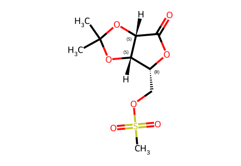 CC1(C)O[C@@H]2[C@H](O1)C(=O)O[C@@H]2COS(C)(=O)=O